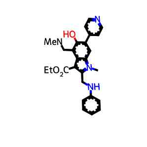 CCOC(=O)c1c(CNc2ccccc2)n(C)c2cc(-c3ccncc3)c(O)c(CNC)c12